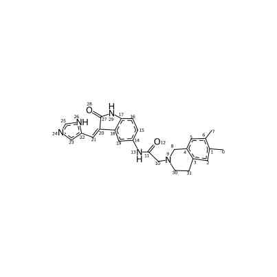 Cc1cc2c(cc1C)CN(CC(=O)Nc1ccc3c(c1)/C(=C/c1cnc[nH]1)C(=O)N3)CC2